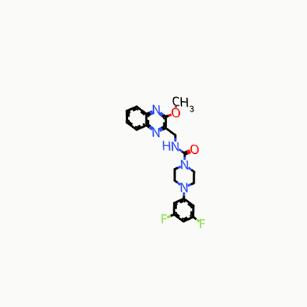 COc1nc2ccccc2nc1CNC(=O)N1CCN(c2cc(F)cc(F)c2)CC1